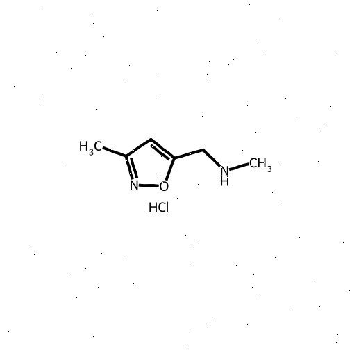 CNCc1cc(C)no1.Cl